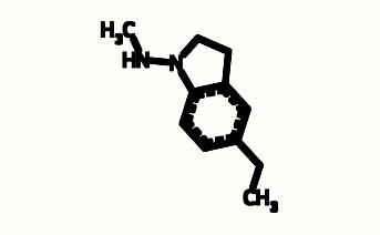 CCc1ccc2c(c1)CCN2NC